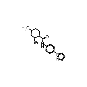 CC1CCC(C(=O)Nc2ccc(-n3cccn3)cc2)C(C(C)C)C1